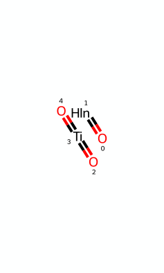 [O]=[InH].[O]=[Ti]=[O]